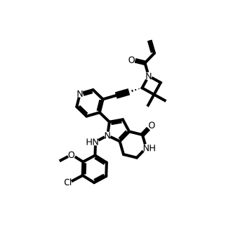 C=CC(=O)N1CC(C)(C)[C@@H]1C#Cc1cnccc1-c1cc2c(n1Nc1cccc(Cl)c1OC)CCNC2=O